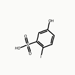 O=S(=O)(O)c1cc(O)ccc1I